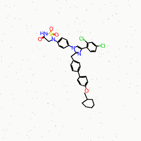 O=C1CN(c2ccc(-n3cc(-c4ccc(Cl)cc4Cl)nc3Cc3ccc(-c4ccc(OCC5CCCCC5)cc4)cc3)cc2)S(=O)(=O)N1